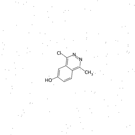 Cc1nnc(Cl)c2cc(O)ccc12